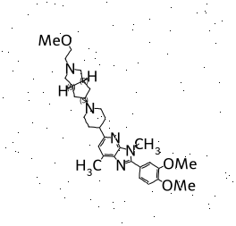 COCCN1C[C@H]2C[C@H](N3CCC(c4cc(C)c5nc(-c6ccc(OC)c(OC)c6)n(C)c5n4)CC3)C[C@H]2C1